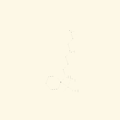 C[Si](C)(O)C1([SiH2]CCCNCCN)CCCCO1